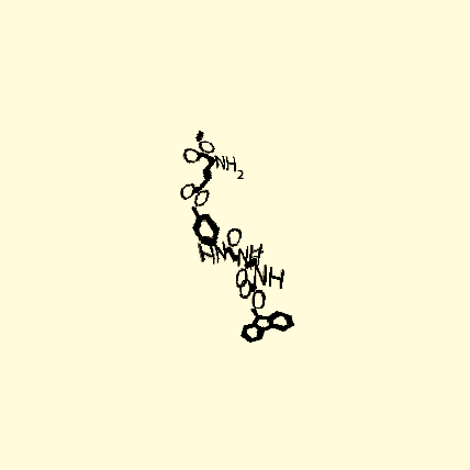 CCOC(=O)[C@H](N)CCC(=O)OCc1ccc(NC(=O)CNC(=O)[C@H](C)NC(=O)OCC2c3ccccc3-c3ccccc32)cc1